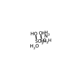 N.O.O=S(=O)(O)O.O=S(=O)(O)O